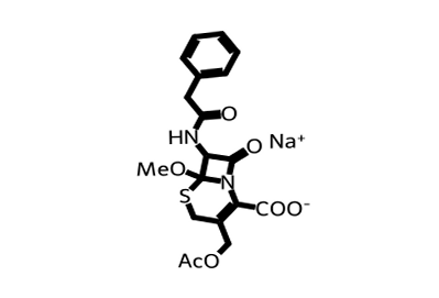 COC12SCC(COC(C)=O)=C(C(=O)[O-])N1C(=O)C2NC(=O)Cc1ccccc1.[Na+]